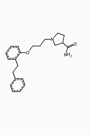 NC(=O)C1CCN(CCCOc2ccccc2CCc2ccccc2)C1